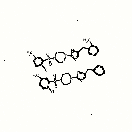 Cc1ccccc1Cc1csc(N2CCN(S(=O)(=O)c3cc(C(F)(F)F)ccc3Cl)CC2)n1.O=S(=O)(c1cc(C(F)(F)F)ccc1Cl)N1CCN(c2nc(Cc3ccccc3)cs2)CC1